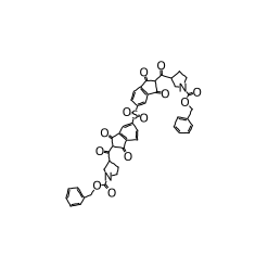 O=C1c2ccc(S(=O)(=O)c3ccc4c(c3)C(=O)C(C(=O)C3CCN(C(=O)OCc5ccccc5)C3)C4=O)cc2C(=O)C1C(=O)C1CCN(C(=O)OCc2ccccc2)C1